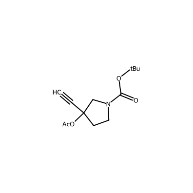 C#CC1(OC(C)=O)CCN(C(=O)OC(C)(C)C)C1